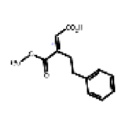 CC(C)(C)OC(=O)/C(=C/C(=O)O)CCc1ccccc1